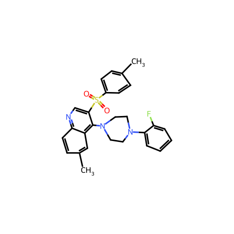 Cc1ccc(S(=O)(=O)c2cnc3ccc(C)cc3c2N2CCN(c3ccccc3F)CC2)cc1